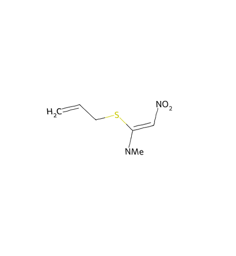 C=CCSC(=C[N+](=O)[O-])NC